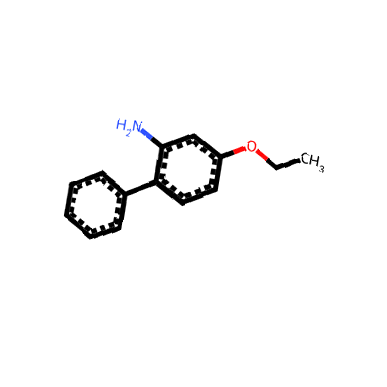 CCOc1ccc(-c2ccccc2)c(N)c1